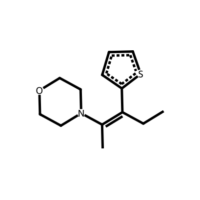 CCC(=C(C)N1CCOCC1)c1cccs1